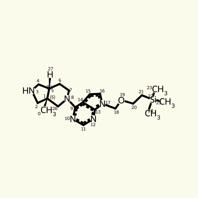 C[C@@]12CNC[C@@H]1CCN(c1ncnc3c1ccn3COCC[Si](C)(C)C)C2